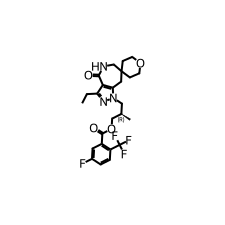 CCc1nn(C[C@@H](C)COC(=O)c2cc(F)ccc2C(F)(F)F)c2c1C(=O)NCC1(CCOCC1)C2